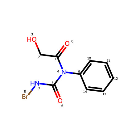 O=C(CO)N(C(=O)NBr)c1ccccc1